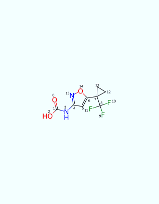 O=C(O)Nc1cc(C2(C(F)(F)F)CC2)on1